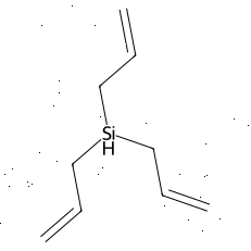 C=CC[SiH](CC=C)CC=C